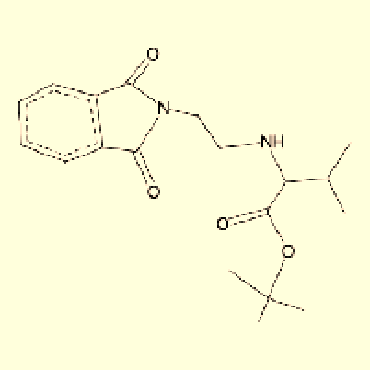 CC(C)C(NCCN1C(=O)c2ccccc2C1=O)C(=O)OC(C)(C)C